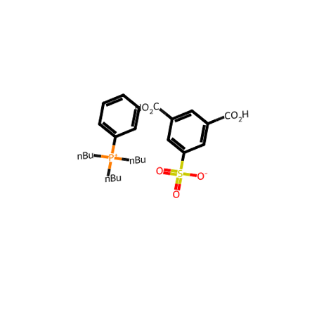 CCCC[P+](CCCC)(CCCC)c1ccccc1.O=C(O)c1cc(C(=O)O)cc(S(=O)(=O)[O-])c1